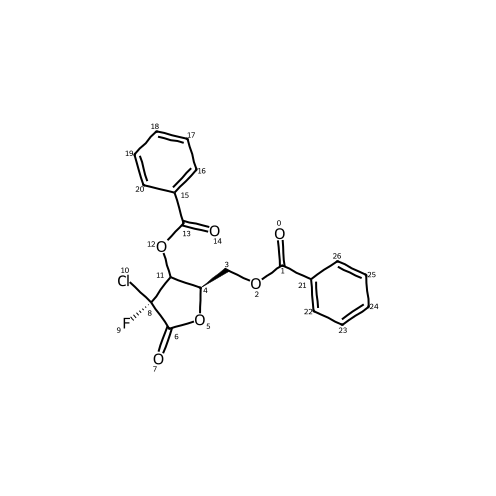 O=C(OC[C@H]1OC(=O)[C@@](F)(Cl)C1OC(=O)c1ccccc1)c1ccccc1